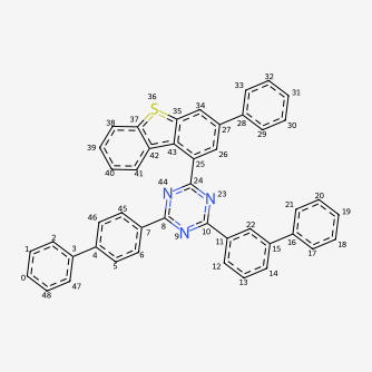 c1ccc(-c2ccc(-c3nc(-c4cccc(-c5ccccc5)c4)nc(-c4cc(-c5ccccc5)cc5sc6ccccc6c45)n3)cc2)cc1